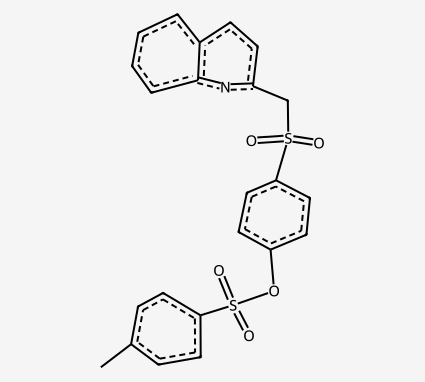 Cc1ccc(S(=O)(=O)Oc2ccc(S(=O)(=O)Cc3ccc4ccccc4n3)cc2)cc1